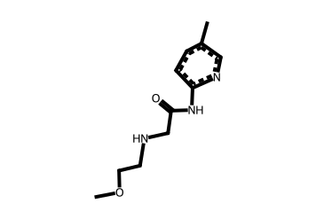 COCCNCC(=O)Nc1ccc(C)cn1